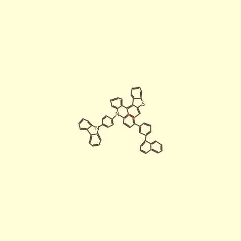 c1cc(-c2ccc(N(c3ccc(-n4c5ccccc5c5ccccc54)cc3)c3ccccc3-c3cccc4sc5ccccc5c34)cc2)cc(-c2cccc3ccccc23)c1